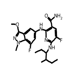 CCC(C)C(CC)Nc1nc(Nc2cc(F)c3c(c2)c(OC)nn3C)c(C(N)=O)cc1F